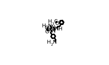 COc1ccccc1CCNc1nc(N)c([N+](=O)[O-])c(CC2CCC(CN)CC2)n1